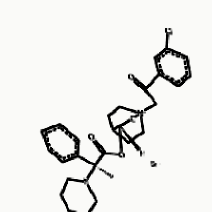 C[C@@](C(=O)O[C@H]1C[N+]2(CC(=O)c3cccc(Cl)c3)CCC1CC2)(c1ccccc1)N1CCCCC1.[Br-]